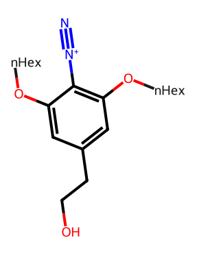 CCCCCCOc1cc(CCO)cc(OCCCCCC)c1[N+]#N